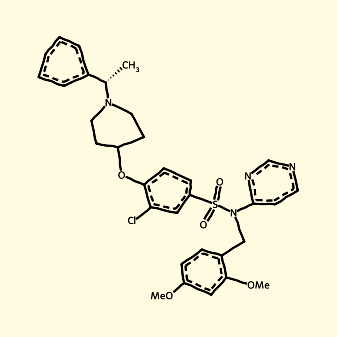 COc1ccc(CN(c2ccncn2)S(=O)(=O)c2ccc(OC3CCN([C@@H](C)c4ccccc4)CC3)c(Cl)c2)c(OC)c1